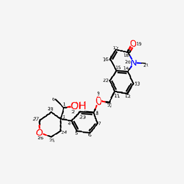 CC(O)C1(c2cccc(OCc3ccc4c(ccc(=O)n4C)c3)c2)CCOCC1